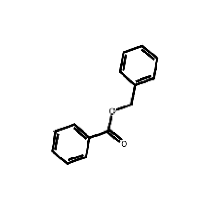 O=C(OCc1ccccc1)c1c[c]ccc1